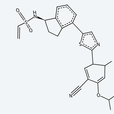 C=CS(=O)(=O)N[C@@H]1CCc2c(-c3cnc(C4C=C(C#N)C(OC(C)C)=CC4C)s3)cccc21